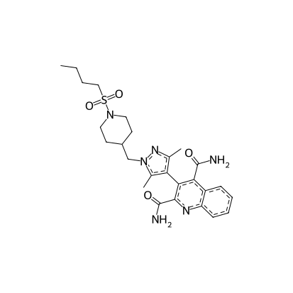 CCCCS(=O)(=O)N1CCC(Cn2nc(C)c(-c3c(C(N)=O)nc4ccccc4c3C(N)=O)c2C)CC1